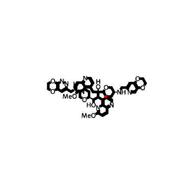 COc1ccc2nccc(C[C@](O)(C3CC[C@@H](NCc4cc5c(cn4)OCCO5)CO3)C(c3ccnc4ccc(OC)nc34)C(O)[C@@H]3CC[C@@H](NCc4cc5c(nn4)OCCO5)CO3)c2n1